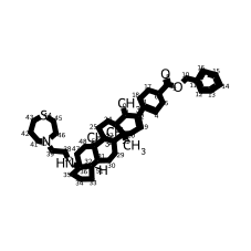 CC1C(C2=CCC(C(=O)OCc3ccccc3)CC2)=CCC2(C)C1CCC1(C)C2CCC2[C@H]3CCCC3(NCCN3CCCSCC3)CC[C@]21C